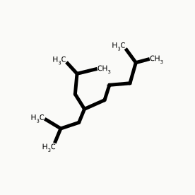 CC(C)C[CH]CC(CC(C)C)CC(C)C